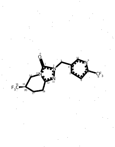 O=c1n(Cc2ccc(C(F)(F)F)nc2)nc2n1C[C@H](C(F)(F)F)CC2